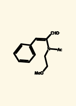 COCCN(C(C)=O)C([C]=O)=Cc1ccccc1